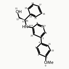 COc1ccc(-c2cncc(N[C@@H](CO)c3ccccc3)c2)cc1